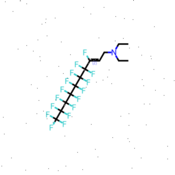 CCN(CC)C/C=C(\F)C(F)(F)C(F)(F)C(F)(F)C(F)(F)C(F)(F)C(F)(F)C(F)(F)F